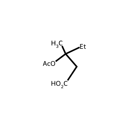 CCC(C)(CC(=O)O)OC(C)=O